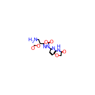 NCC(OC=O)c1nn(-c2ccc3c(n2)NC(=O)CO3)c(=O)o1